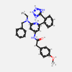 CC(C)CN(Cc1ccccc1)c1cc(NC(=O)Cc2ccc(OC(F)(F)F)cc2)cc(-c2ccccc2-c2nnn[nH]2)n1